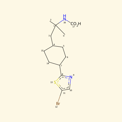 CC(C)(CC1CCC(c2ncc(Br)s2)CC1)NC(=O)O